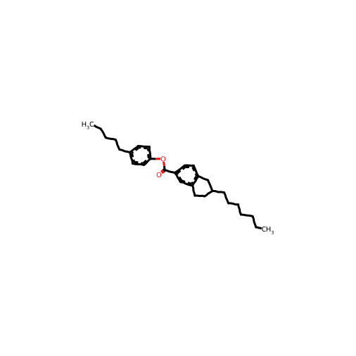 CCCCCCCC1CCc2cc(C(=O)Oc3ccc(CCCCC)cc3)ccc2C1